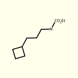 CCOC(=O)[N]CCCC1CCC1